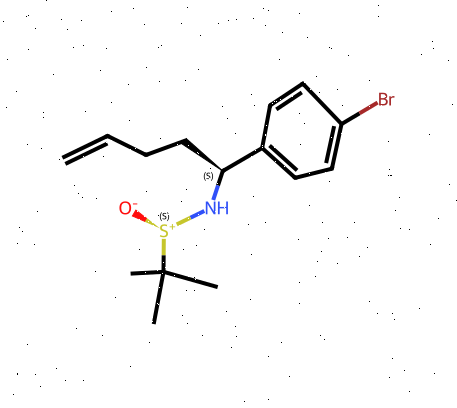 C=CCC[C@H](N[S@+]([O-])C(C)(C)C)c1ccc(Br)cc1